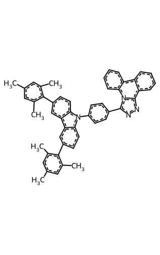 Cc1cc(C)c(-c2ccc3c(c2)c2cc(-c4c(C)cc(C)cc4C)ccc2n3-c2ccc(-c3nnc4c5ccccc5c5ccccc5n34)cc2)c(C)c1